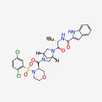 CC(C)(C)[C@H](NC(=O)c1cc2ccccc2[nH]1)C(=O)N1C[C@@H]2C[C@H]1CN2C(=O)[C@H]1COCCN1S(=O)(=O)c1cc(Cl)ccc1Cl